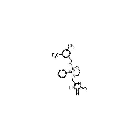 O=c1nc(CN2CCO[C@H](OCc3cc(C(F)(F)F)cc(C(F)(F)F)c3)[C@@H]2c2ccccc2)[nH][nH]1